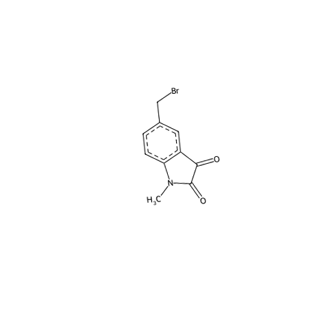 CN1C(=O)C(=O)c2cc(CBr)ccc21